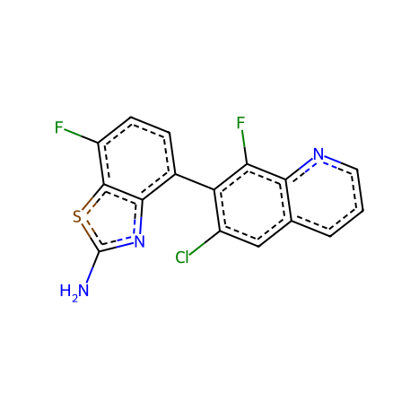 Nc1nc2c(-c3c(Cl)cc4cccnc4c3F)ccc(F)c2s1